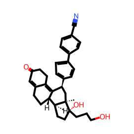 C[C@@]12C[C@H](c3ccc(-c4ccc(C#N)cc4)cc3)C3=C4CCC(=O)C=C4CC[C@H]3[C@@H]1CC[C@]2(O)CCCO